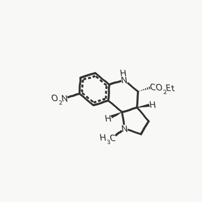 CCOC(=O)[C@H]1Nc2ccc([N+](=O)[O-])cc2[C@@H]2[C@H]1CCN2C